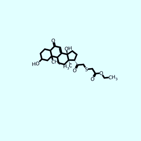 CCOC(=O)CSCC(=O)[C@H]1CC[C@@]2(O)C3=CC(=O)C4CCC(O)CC4(C)C3CC[C@]12C